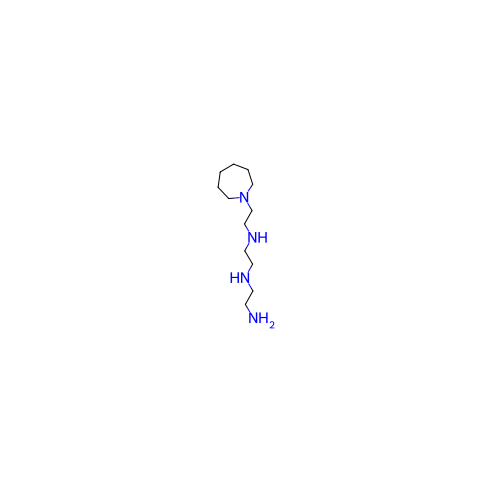 NCCNCCNCCN1CCCCCC1